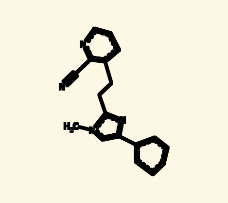 Cn1cc(-c2ccccc2)nc1CCc1cccnc1C#N